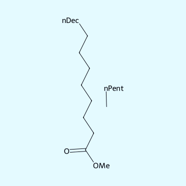 CCCCCC.CCCCCCCCCCCCCCCCCC(=O)OC